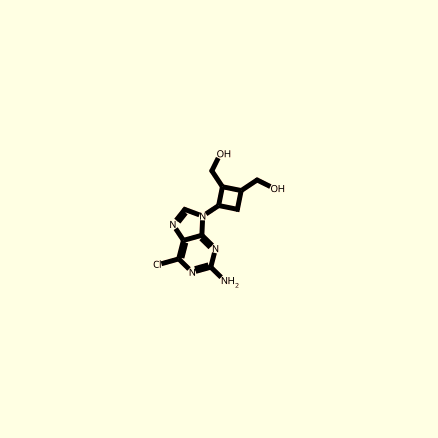 Nc1nc(Cl)c2ncn(C3CC(CO)C3CO)c2n1